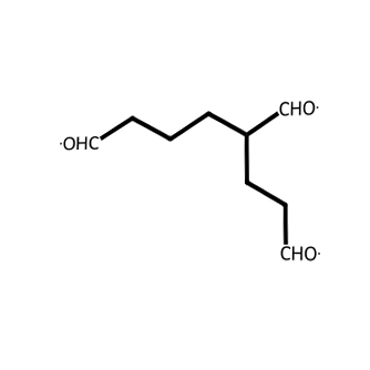 O=[C]CCCC([C]=O)CC[C]=O